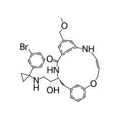 COCc1cc2cc(c1)C(=O)N[C@H]([C@H](O)CNC1(c3cccc(Br)c3)CC1)Cc1cccc(c1)OCC=CCN2